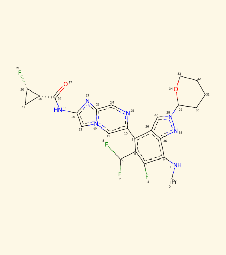 CC(C)Nc1c(F)c(C(F)F)c(-c2cn3cc(NC(=O)[C@@H]4C[C@@H]4F)nc3cn2)c2cn(C3CCCCO3)nc12